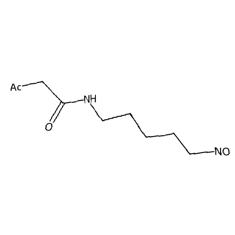 CC(=O)CC(=O)NCCCCCN=O